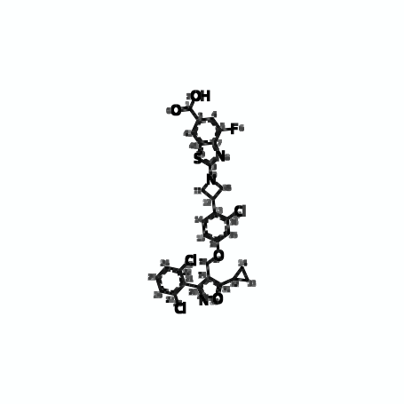 O=C(O)c1cc(F)c2nc(N3CC(c4ccc(OCc5c(-c6c(Cl)cccc6Cl)noc5C5CC5)cc4Cl)C3)sc2c1